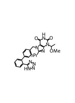 CCCc1nc2c(c(=O)[nH]c(=O)n2C(C)OC)n1Cc1ccc(-c2ccccc2-c2nnn[nH]2)cc1